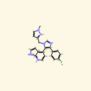 Cn1ccc(Cn2cnc(-c3ccc(F)cc3)c2-c2ccnc3[nH]ccc23)n1